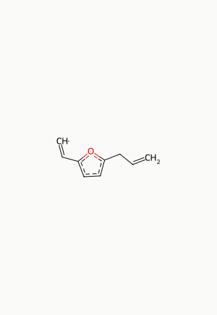 [CH]=Cc1ccc(CC=C)o1